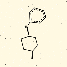 C[C@H]1CC[C@@H](Nc2ccccc2)CC1